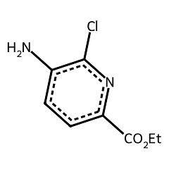 CCOC(=O)c1ccc(N)c(Cl)n1